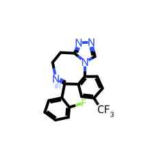 Fc1ccccc1/C1=N/CCc2nncn2-c2ccc(C(F)(F)F)cc21